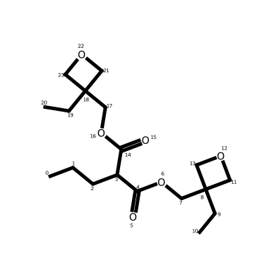 CCCC(C(=O)OCC1(CC)COC1)C(=O)OCC1(CC)COC1